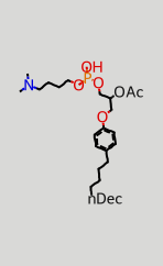 CCCCCCCCCCCCCCc1ccc(OCC(COP(O)OCCCCN(C)C)OC(C)=O)cc1